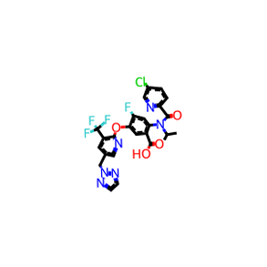 CC(C)N(C(=O)c1ccc(Cl)cn1)c1cc(F)c(Oc2ncc(Cn3nccn3)cc2C(F)(F)F)cc1C(=O)O